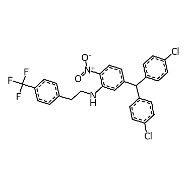 O=[N+]([O-])c1ccc(C(c2ccc(Cl)cc2)c2ccc(Cl)cc2)cc1NCCc1ccc(C(F)(F)F)cc1